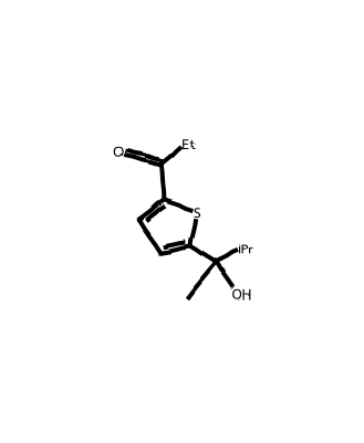 CCC(=O)c1ccc(C(C)(O)C(C)C)s1